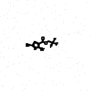 O=C(OCC(F)(F)F)c1cc(Br)sc1Br